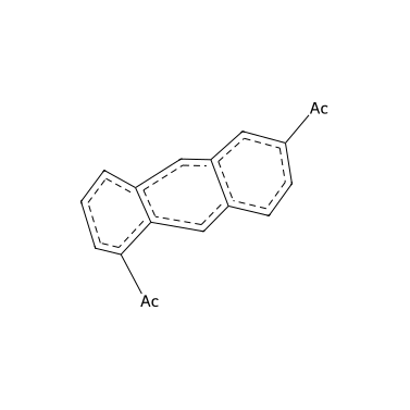 CC(=O)c1ccc2cc3c(C(C)=O)cccc3cc2c1